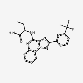 CCC(Nc1nc2ccccc2c2nc(-c3cccc(C(F)(F)F)n3)nn12)C(N)=O